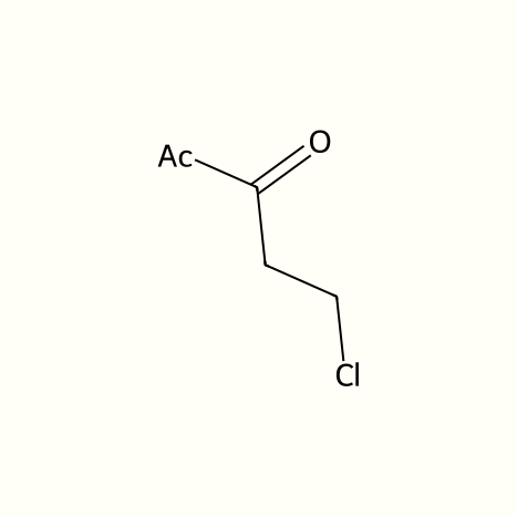 CC(=O)C(=O)CCCl